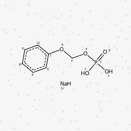 O=P(O)(O)OCOc1ccccc1.[NaH]